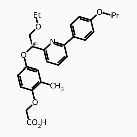 CCOC[C@H](Oc1ccc(OCC(=O)O)c(C)c1)c1cccc(-c2ccc(OC(C)C)cc2)n1